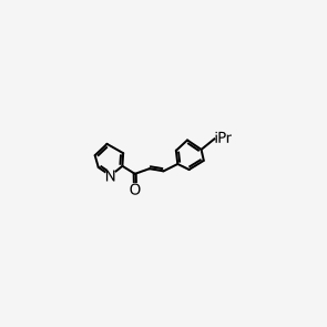 CC(C)c1ccc(C=CC(=O)c2ccccn2)cc1